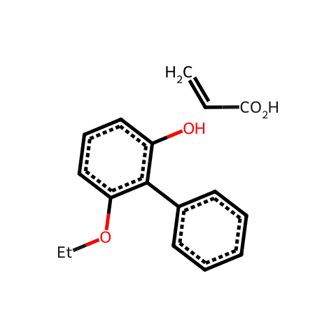 C=CC(=O)O.CCOc1cccc(O)c1-c1ccccc1